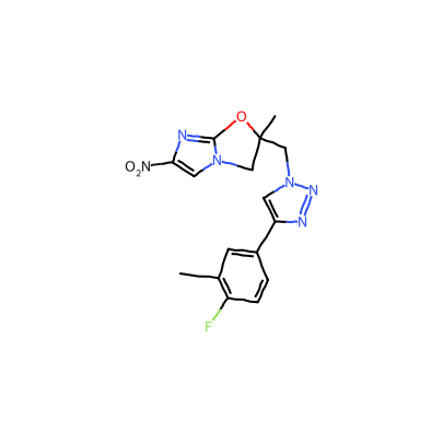 Cc1cc(-c2cn(CC3(C)Cn4cc([N+](=O)[O-])nc4O3)nn2)ccc1F